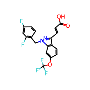 O=C(O)C=Cc1nn(Cc2ccc(F)cc2F)c2cc(OC(F)(F)F)ccc12